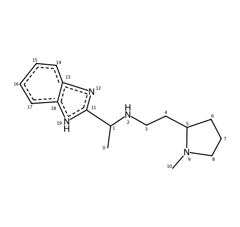 CC(NCCC1CCCN1C)c1nc2ccccc2[nH]1